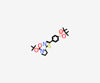 CC(C)(C)OC(=O)N1CCC[C@H]1c1ncc(-c2ccc(B3OC(C)(C)C(C)(C)O3)cc2)s1